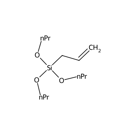 C=CC[Si](OCCC)(OCCC)OCCC